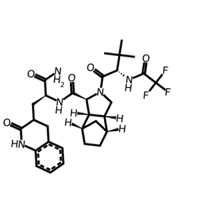 CC(C)(C)[C@H](NC(=O)C(F)(F)F)C(=O)N1C[C@@H]2[C@@H]3CC[C@@H](C3)[C@@H]2[C@H]1C(=O)N[C@@H](CC1Cc2ccccc2NC1=O)C(N)=O